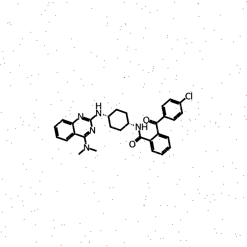 CN(C)c1nc(N[C@H]2CC[C@@H](NC(=O)c3ccccc3C(=O)c3ccc(Cl)cc3)CC2)nc2ccccc12